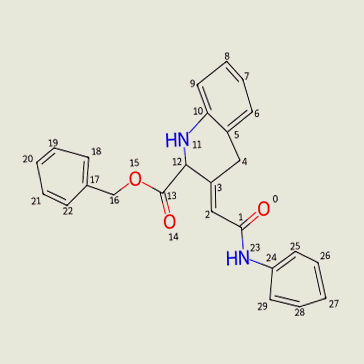 O=C(C=C1Cc2ccccc2NC1C(=O)OCc1ccccc1)Nc1ccccc1